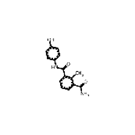 Cc1c(C(N)=O)cccc1C(=O)Nc1ccc(O)cc1